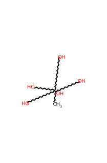 CCCCCCC(O)(CCCCCCCCCCCCO)C(CCCCCCCCCCO)(CCCCCCCCCCCCCCO)CCCCCCCCCCCCCCCCO